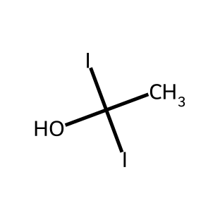 CC(O)(I)I